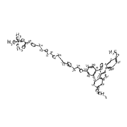 COc1ccc(-c2sc3cc(OC)ccc3c2C(=O)c2ccc(OCCOCCOCCOCCOCC(=O)OC(C)(C)C)cc2)cc1